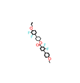 C=CCOc1ccc(C2CCC(OC(=O)c3ccc(-c4ccc(OCC)cc4)c(F)c3F)CC2)c(F)c1F